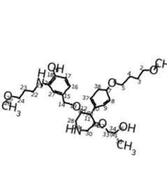 COCCCCOC1C=CC([C@@H]2[C@@H](OCc3ccc(O)c(NCCCOC)c3)CNC[C@H]2OC[C@@H](C)O)=CC1